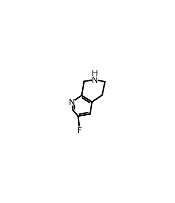 Fc1cnc2c(c1)CCNC2